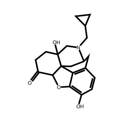 O=C1CCC2(O)CN(CC3CC3)C3Cc4ccc(O)c5c4C2(C3)C1O5